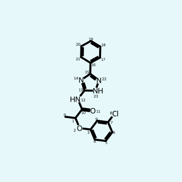 CC(Oc1cccc(Cl)c1)C(=O)Nc1nc(-c2ccccc2)n[nH]1